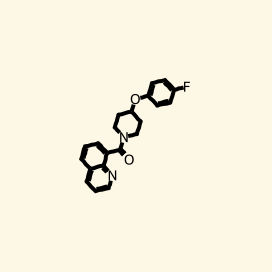 O=C(c1cccc2cccnc12)N1CCC(Oc2ccc(F)cc2)CC1